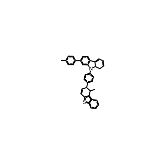 Cc1ccc(-c2ccc3c(c2)N(c2ccc(C4C=Cc5sc6ccccc6c5C4C)cc2)C2CC=CC=C32)cc1